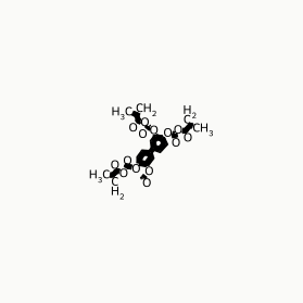 C=C(C)C(=O)OC(=O)Oc1ccc(-c2ccc(OC(=O)OC(=O)C(=C)C)c(OC(=O)OC(=O)C(=C)C)c2)cc1OC=O